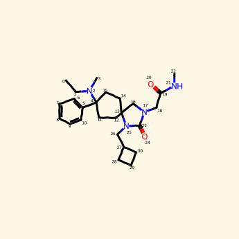 CCN(C)C1(c2ccccc2)CCC2(CC1)CN(CC(=O)NC)C(=O)N2CC1CCC1